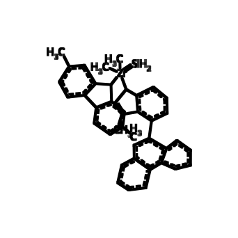 CC1=C[CH]([Zr]([CH3])([CH3])(=[SiH2])[CH]2c3cc(C)ccc3-c3ccc(C)cc32)c2cccc(-c3cc4ccccc4c4ccccc34)c21